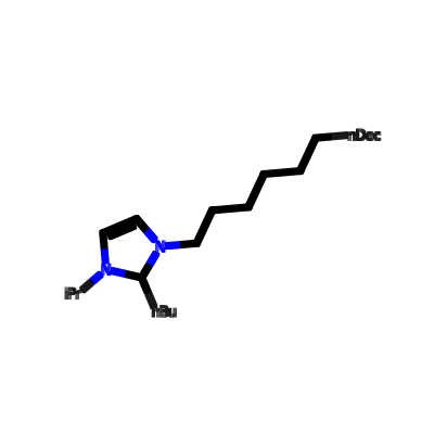 CCCCCCCCCCCCCCCCN1C=CN(C(C)C)C1CCCC